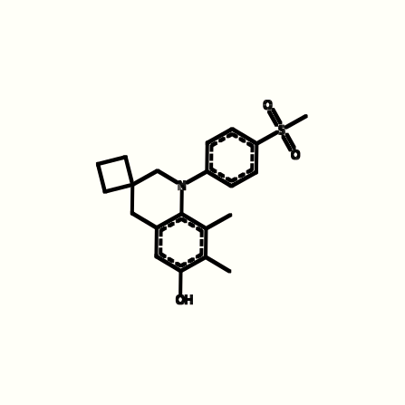 Cc1c(O)cc2c(c1C)N(c1ccc(S(C)(=O)=O)cc1)CC1(CCC1)C2